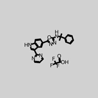 CC(C)(Nc1nnc(-c2ccc3[nH]cc(-c4ncccn4)c3c2)o1)c1ccccc1.O=C(O)C(F)(F)F